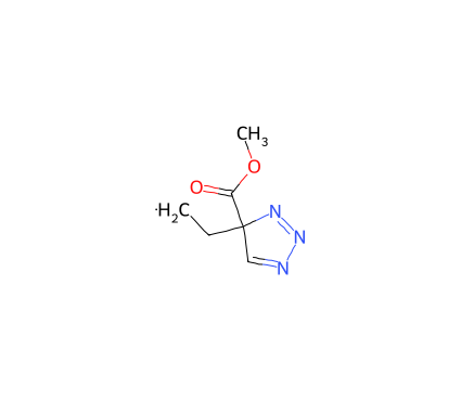 [CH2]CC1(C(=O)OC)C=NN=N1